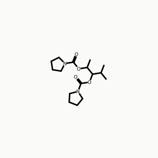 CC(C)C(OC(=O)N1CCCC1)C(C)OC(=O)N1CCCC1